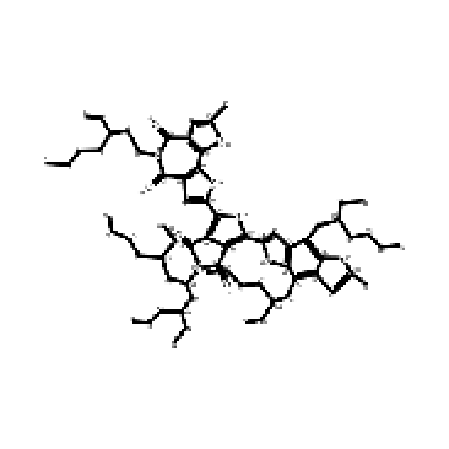 CCCCC(CC)CCn1c(=O)c2cc(C)sc2c2sc(-c3sc(-c4cc5c(CC(CC)CCCC)c6sc(C)cc6c(CC(CC)CCCC)c5s4)c4c3C(=O)N(C(CC(CC)CCC)CC(CC)CCCC)C4=O)cc2c1=O